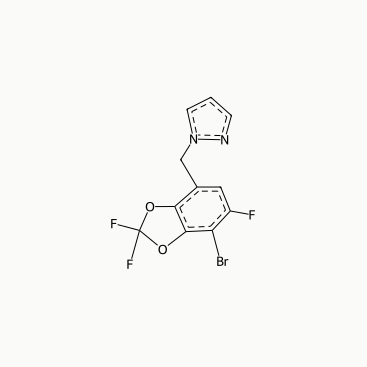 Fc1cc(Cn2cccn2)c2c(c1Br)OC(F)(F)O2